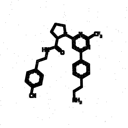 N#Cc1ccc(CCNC(=O)C2CCCN2c2cc(-c3ccc(CCN)cc3)nc(C(F)(F)F)n2)cc1